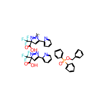 O=C(O)C1(C(F)(F)F)C=C(c2ccccn2)N=N1.O=C(O)C1(C(F)(F)F)C=C(c2ccccn2)N=N1.O=P(OCc1ccccc1)(c1ccccc1)c1ccccc1.[Ir]